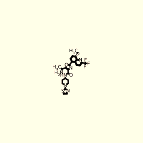 COc1ccc(-c2nc(C(=O)NC3CCN(c4nccs4)CC3)c(C(C)N)o2)c2ccc(C(F)(F)F)nc12